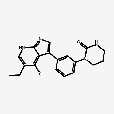 CCc1c[nH]c2ncc(-c3cccc(N4CCCNC4=O)c3)c-2c1Cl